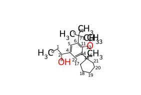 CCC(O)c1cc(C(C)(C)C)c(OC)c(C2(C)CCCCC2)c1